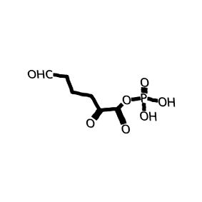 O=CCCCC(=O)C(=O)OP(=O)(O)O